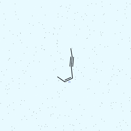 [CH2]C#C/C=C\C